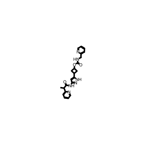 CC(C(=O)Nc1cc(C2CC(OC(=O)NCc3ccccn3)C2)[nH]n1)c1ccccn1